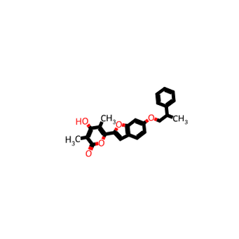 Cc1c(-c2cc3ccc(OCC(C)c4ccccc4)cc3o2)oc(=O)c(C)c1O